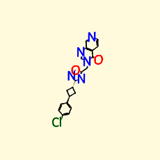 O=c1c2ccncc2ncn1Cc1nc([C@H]2C[C@H](c3ccc(Cl)cc3)C2)no1